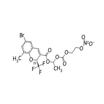 Cc1cc(Br)cc2c1O[C@H](C(F)(F)F)C(C(=O)OC(C)OC(=O)OCCO[N+](=O)[O-])=C2